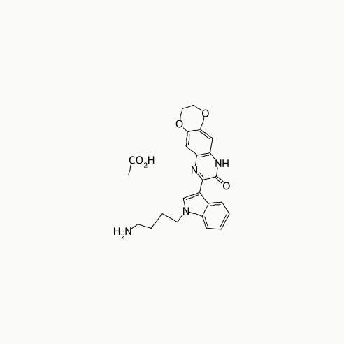 CC(=O)O.NCCCCn1cc(-c2nc3cc4c(cc3[nH]c2=O)OCCO4)c2ccccc21